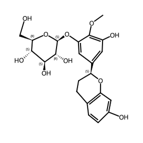 COc1c(O)cc([C@@H]2CCc3ccc(O)cc3O2)cc1O[C@@H]1O[C@H](CO)[C@@H](O)[C@H](O)[C@H]1O